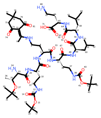 CC(NCC[C@H](NC(=O)[C@H](CCNC(=O)OC(C)(C)C)NC(=O)[C@@H](N)[C@@H](C)OC(C)(C)C)C(=O)N[C@@H](CCNC(=O)OC(C)(C)C)C(=O)N[C@H](CC(C)C)C(=O)N[C@@H](CC(C)C)C(=O)N[C@@H](CCN)C(=O)O)=C1C(=O)CC(C)(C)CC1=O